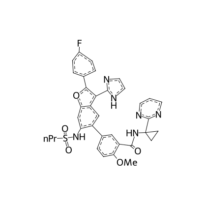 CCCS(=O)(=O)Nc1cc2oc(-c3ccc(F)cc3)c(-c3ncc[nH]3)c2cc1-c1ccc(OC)c(C(=O)NC2(c3ncccn3)CC2)c1